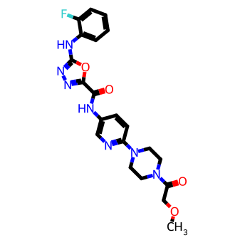 COCC(=O)N1CCN(c2ccc(NC(=O)c3nnc(Nc4ccccc4F)o3)cn2)CC1